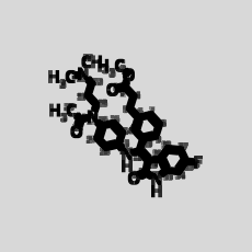 COC(=O)CCc1cccc(/C(Nc2ccc(N(CCCN(C)C)C(C)=O)cc2)=C2/C(=O)Nc3cc(F)ccc32)c1